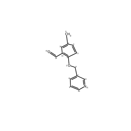 Cc1ccc(OCc2cccnc2)c(C=O)c1